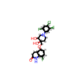 O=C1CCc2c(OCC3(O)CCN(c4cc(F)c(Cl)cc4F)CC3O)ccc(F)c2N1